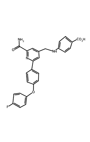 NC(=O)c1cc(CNc2ccc(C(=O)O)cc2)cc(-c2ccc(Oc3ccc(F)cc3)cc2)n1